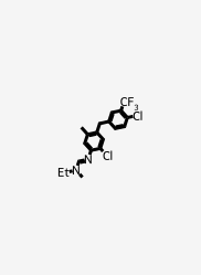 CCN(C)C=Nc1cc(C)c(Cc2ccc(Cl)c(C(F)(F)F)c2)cc1Cl